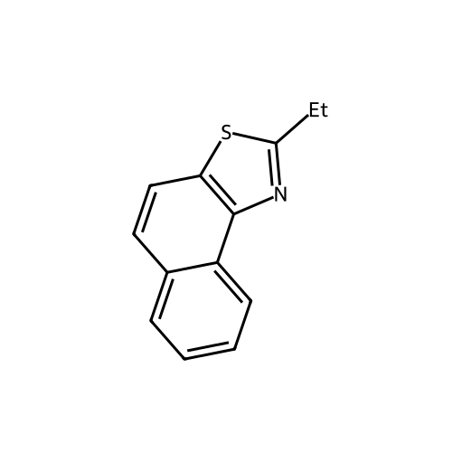 CCc1nc2c(ccc3ccccc32)s1